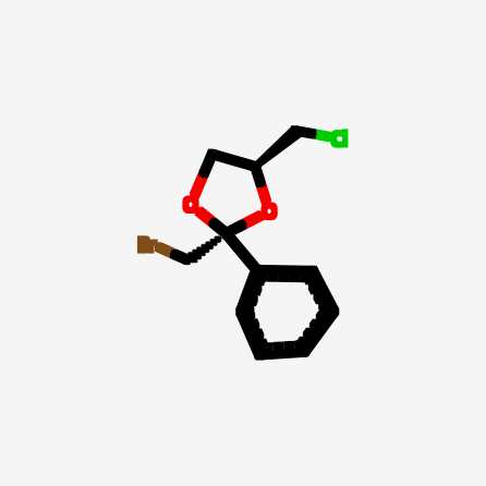 ClC[C@@H]1CO[C@](CBr)(c2ccccc2)O1